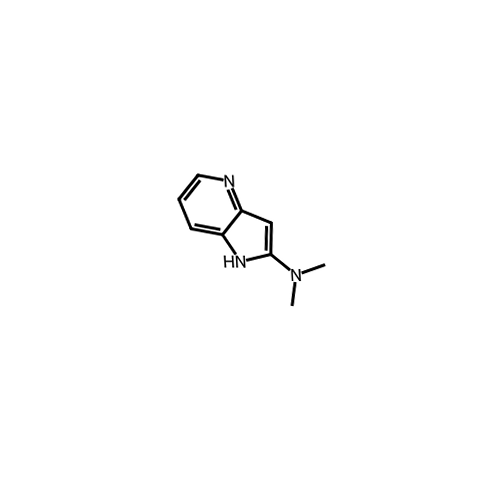 CN(C)c1cc2ncccc2[nH]1